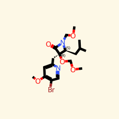 COCO[C@@]1(Cc2cc(OC)c(Br)cn2)C(=O)N(COC)[C@H]1CC(C)C